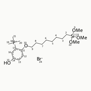 CO[Si](CCCCCCCCOc1ccc(O)cc1[P+](C)(C)C)(OC)OC.[Br-]